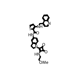 COCCNc1c(N2CCc3cc(NC(=O)c4sccc4NCc4ccnc5ccccc45)ccc32)c(=O)c1=O